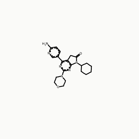 Nc1ccc(-c2nc(N3CCOCC3)nc3c2CC(=O)N3C2CCCCC2)cn1